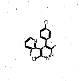 Cc1cccnc1-c1c(Cl)nnc(C)c1-c1ccc(Cl)cc1